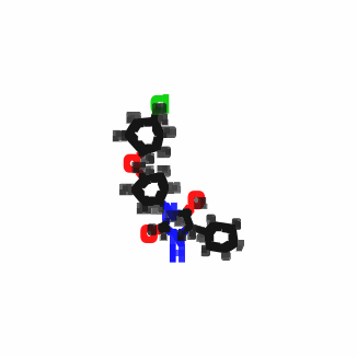 O=C1N[C@H](c2ccccc2)C(=O)N1c1ccc(Oc2ccc(Cl)cc2)cc1